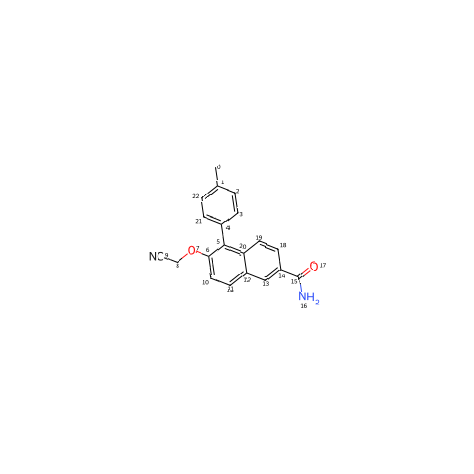 Cc1ccc(-c2c(OCC#N)ccc3cc(C(N)=O)ccc23)cc1